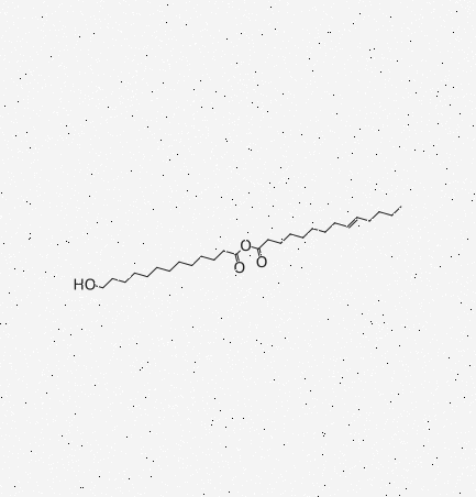 CCCCC=CCCCCCCCC(=O)OC(=O)CCCCCCCCCCCCO